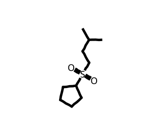 CC(C)CCS(=O)(=O)C1CCCC1